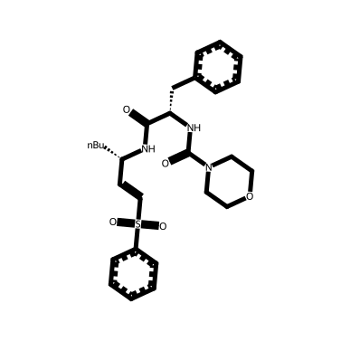 CCCC[C@@H](/C=C/S(=O)(=O)c1ccccc1)NC(=O)[C@H](Cc1ccccc1)NC(=O)N1CCOCC1